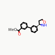 COC(=O)c1cccc(-c2cccc([C@H]3CCON3)c2)c1